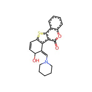 O=c1oc2ccccc2c2sc3c(c12)C(=CN1CCCCC1)C(O)C=C3